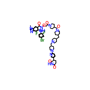 Cn1cnc2c(F)c(Nc3ccc(Br)cc3F)c(C(=O)NOCC(=O)N3CCC(C(=O)N4CCC(CC5CCN(CC6CCN(c7ccc(C8CCC(=O)NC8=O)cn7)CC6)CC5)CC4)CC3)cc21